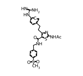 CC(=O)Nc1nc(CCc2ccc(NC(=N)N)cc2)c(C(=O)NCc2ccc(S(C)(=O)=O)cc2)s1